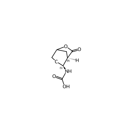 O=C(O)N[C@H]1CCC2C[C@H]1C(=O)O2